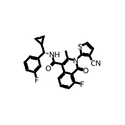 Cc1c(C(=O)N[C@H](c2cccc(F)c2)C2CC2)c2cccc(F)c2c(=O)n1-c1sccc1C#N